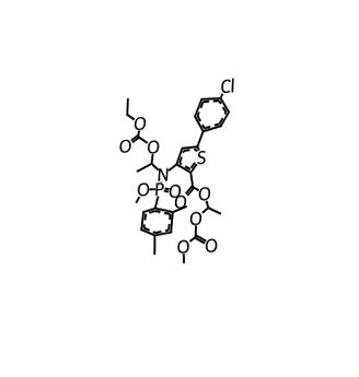 CCOC(=O)OC(C)N(c1cc(-c2ccc(Cl)cc2)sc1C(=O)OC(C)OC(=O)OC)P(=O)(OC)c1ccc(C)cc1C